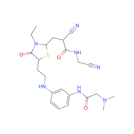 CCN1C(=O)C(CCNc2cccc(NC(=O)CN(C)C)c2)SC1CC(C#N)C(=O)NCC#N